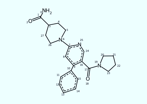 NC(=O)C1CCN(c2cc(-c3ccccc3)c(C(=O)N3CCCC3)cn2)CC1